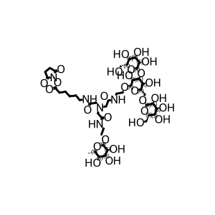 C[C@@H]1O[C@@H](OCCNC(=O)CN(CC(=O)NCCCCCC(=O)ON2C(=O)CCC2=O)CC(=O)NCCO[C@@H]2O[C@H](CO[C@H]3O[C@H](CO)[C@@H](O)[C@H](O)[C@@H]3O)[C@@H](O)[C@H](O[C@H]3O[C@H](CO)[C@@H](O)[C@H](O)[C@@H]3O)[C@H]2O)[C@@H](O)[C@H](O)[C@@H]1O